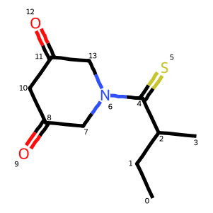 CCC(C)C(=S)N1CC(=O)CC(=O)C1